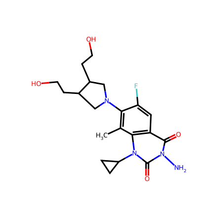 Cc1c(N2CC(CCO)C(CCO)C2)c(F)cc2c(=O)n(N)c(=O)n(C3CC3)c12